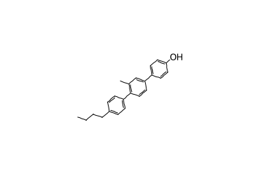 CCCCc1ccc(-c2ccc(-c3ccc(O)cc3)cc2C)cc1